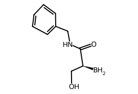 B[C@@H](CO)C(=O)NCc1ccccc1